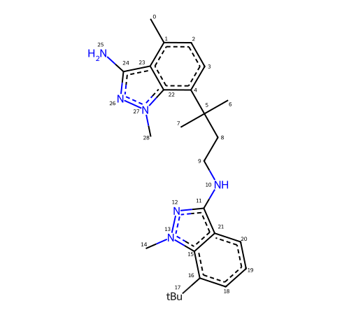 Cc1ccc(C(C)(C)CCNc2nn(C)c3c(C(C)(C)C)cccc23)c2c1c(N)nn2C